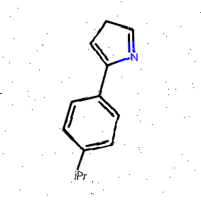 CC(C)c1ccc(C2=CCC=N2)cc1